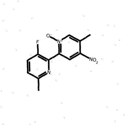 Cc1ccc(F)c(-c2cc([N+](=O)[O-])c(C)c[n+]2[O-])n1